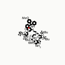 COc1ccc(C(Nc2nc(=O)n([C@@H]3C[C@H](O[Si](C)(C)C(C)(C)C)[C@@H](CO[Si](C)(C)C(C)(C)C)O3)cc2SCCN(CC[C@H](NC(=O)OC(C)(C)C)C(=O)O)C[C@H]2O[C@@H](n3cnc4c(N)ncnc43)[C@H](O[Si](C)(C)C(C)(C)C)[C@@H]2O[Si](C)(C)C(C)(C)C)(c2ccccc2)c2ccccc2)cc1